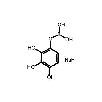 OB(O)Oc1ccc(O)c(O)c1O.[NaH]